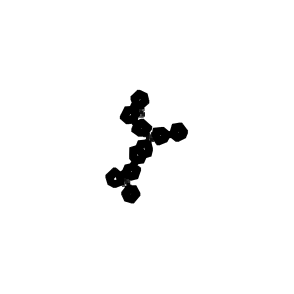 C1=Cc2c(n(-c3ccccc3)c3ccc(-c4ccc5cc(N(c6ccc(-c7ccccc7)cc6)c6ccc(-c7cccc8c7sc7ccccc78)cc6)ccc5c4)cc23)CC1